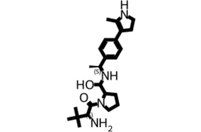 CC1=C(c2ccc([C@H](C)NC(O)C3CCCN3C(=O)[C@@H](N)C(C)(C)C)cc2)CCN1